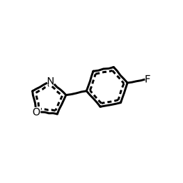 Fc1ccc(-c2cocn2)cc1